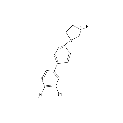 Nc1ncc(-c2ccc(N3CC[C@H](F)C3)cc2)cc1Cl